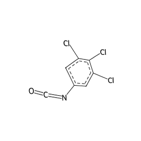 O=C=Nc1cc(Cl)c(Cl)c(Cl)c1